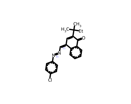 CCC(C)(C)C1=C/C(=C/N=N/c2ccc(Cl)cc2)c2ccccc2C1=O